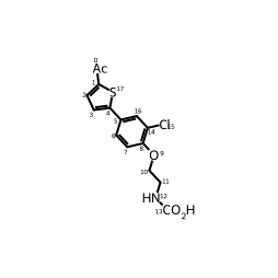 CC(=O)c1ccc(-c2ccc(OCCNC(=O)O)c(Cl)c2)s1